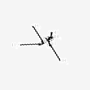 CCCCCCCCCCCCCCCC(=O)N[C@@H](CSC[C@@H](COC(=O)CCCCCCCCCCCCCCC)OC(=O)CCCCCCCCCCCCCCC)C(=O)N[C@@H](CC)C(=O)N[C@H](CCC(=O)O)C(N)=O